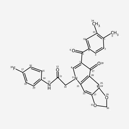 Cc1ccc(C(=O)c2cn(CC(=O)Nc3ccc(F)cc3)c3cc4c(cc3c2=O)OCO4)cc1C